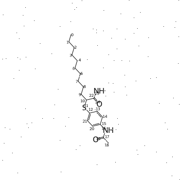 CCCCCCCCCCC(Sc1ccc(NC(C)=O)cc1)C([NH])=O